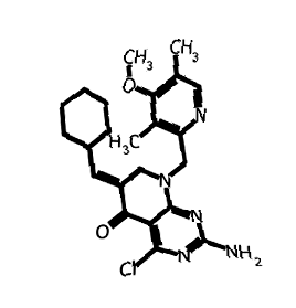 COc1c(C)cnc(CN2CC(=CC3CCCCC3)C(=O)c3c(Cl)nc(N)nc32)c1C